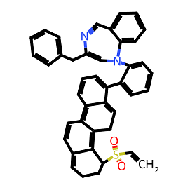 C=CS(=O)(=O)C1CCC=c2ccc3c(c21)CC=c1c(-c2ccccc2N2C=C(Cc4ccccc4)N=Cc4ccccc42)cccc1=3